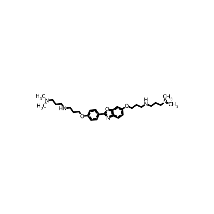 CN(C)CCCNCCCOc1ccc(-c2nc3ccc(OCCCNCCCN(C)C)cc3o2)cc1